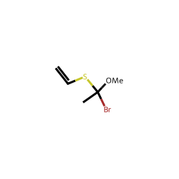 C=CSC(C)(Br)OC